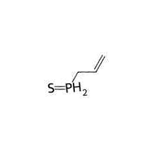 C=CC[PH2]=S